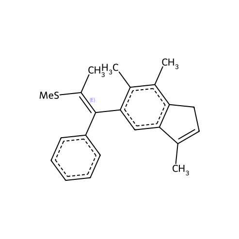 CS/C(C)=C(\c1ccccc1)c1cc2c(c(C)c1C)CC=C2C